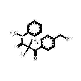 CC(C)Cc1ccc(C(=O)C(C)(C)C(=O)N(C)c2ccccc2)cc1